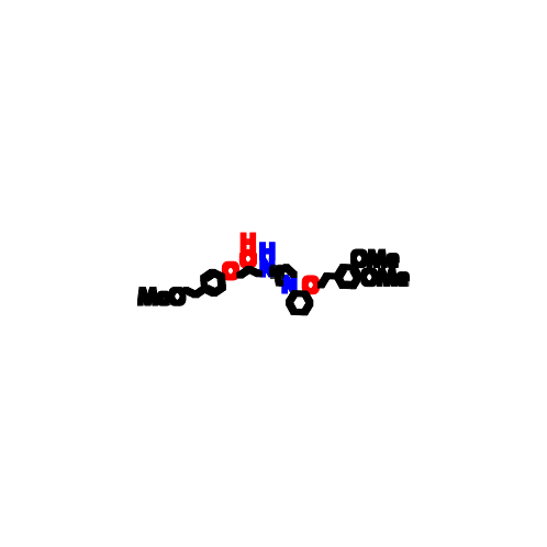 COCCc1ccc(OCC(O)CN[C@@H]2CCN(C3CCCCC3OCCc3ccc(OC)c(OC)c3)C2)cc1